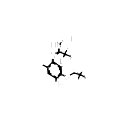 CN/C(=N/c1cc(SCC(F)(F)F)c(C)cc1F)C(F)(F)F